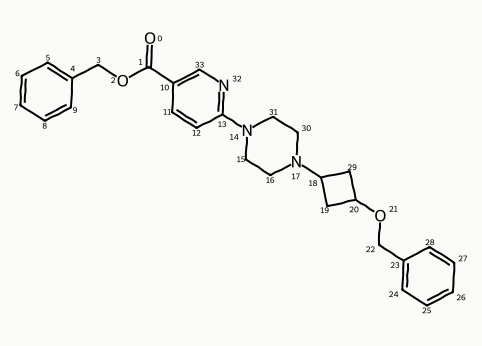 O=C(OCc1ccccc1)c1ccc(N2CCN(C3CC(OCc4ccccc4)C3)CC2)nc1